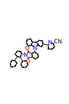 N#Cc1cccc(-c2ccc3c4ccccc4n(-c4cccc5c4C(=O)N(c4cccc(-c6ccccc6)c4-c4ccccc4)C5=O)c3c2)n1